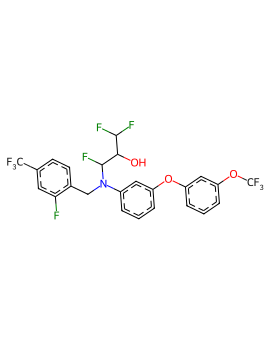 OC(C(F)F)C(F)N(Cc1ccc(C(F)(F)F)cc1F)c1cccc(Oc2cccc(OC(F)(F)F)c2)c1